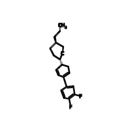 CCC[C@H]1CC[C@H](C2C=CC(c3ccc(F)c(F)c3)=CC2)CC1